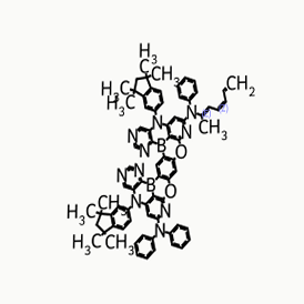 C=C/C=C\C=C(/C)N(c1ccccc1)c1cc2c3c(n1)Oc1cc4c(cc1B3c1ncncc1N2c1ccc2c(c1)C(C)(C)CC2(C)C)B1c2ncncc2N(c2ccc3c(c2)C(C)(C)CC3(C)C)c2cc(N(c3ccccc3)c3ccccc3)nc(c21)O4